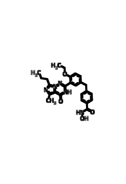 CCCc1nc(C)c2c(=O)[nH]c(-c3cc(Cc4ccc(C(=O)NO)cc4)ccc3OCC)nn12